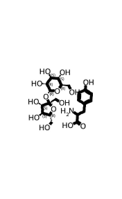 NC(Cc1ccc(O)cc1)C(=O)O.OC[C@H]1O[C@@](CO)(O[C@H]2O[C@H](CO)[C@@H](O)[C@H](O)[C@H]2O)[C@@H](O)[C@@H]1O